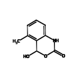 Cc1cccc2c1C(O)OC(=O)N2